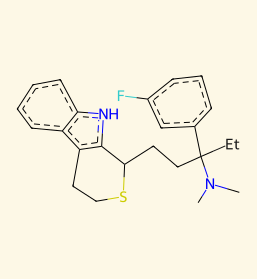 CCC(CCC1SCCc2c1[nH]c1ccccc21)(c1cccc(F)c1)N(C)C